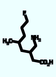 CC(CCCF)CC(CN)CC(=O)O